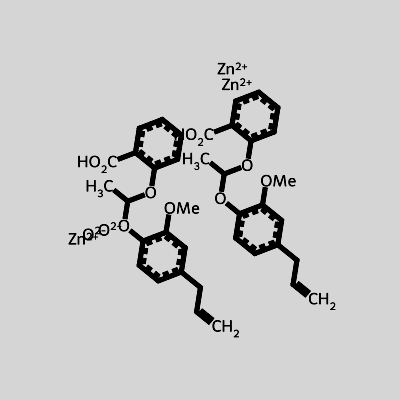 C=CCc1ccc(OC(C)Oc2ccccc2C(=O)O)c(OC)c1.C=CCc1ccc(OC(C)Oc2ccccc2C(=O)O)c(OC)c1.[O-2].[O-2].[Zn+2].[Zn+2].[Zn+2]